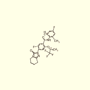 Cc1cc(F)cc(C)c1NC(=O)c1cc(F)c(-n2nc3n(c2=O)CCCC3)cc1O[C@@H](C)C(F)(F)F